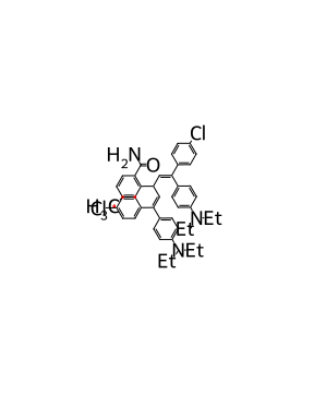 CCN(CC)c1ccc(C(=CC(C=C(c2ccc(Cl)cc2)c2ccc(N(CC)CC)cc2)c2cc(C)ccc2C(N)=O)c2ccc(Cl)cc2)cc1